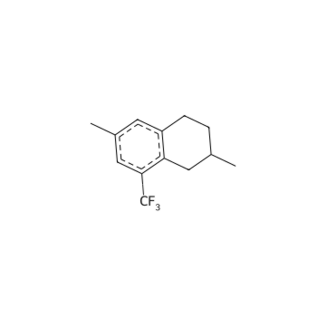 Cc1cc2c(c(C(F)(F)F)c1)CC(C)CC2